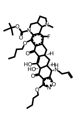 C=CCN[C@@H]1c2onc(OCCCC)c2C(=O)[C@@]2(O)C(O)=C3C(=O)c4c(c(F)c5c(c4OCCCC)N(C(=O)OC(C)(C)C)CC4CCN(C)C54)C[C@H]3C[C@@H]12